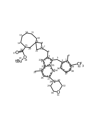 Cc1c(Cc2c(CN3CC4(CCCCCC(C(=O)OC(C)(C)C)C4)C3)nc3c(C)cc(N4CCOCC4)nn23)cccc1C(F)(F)F